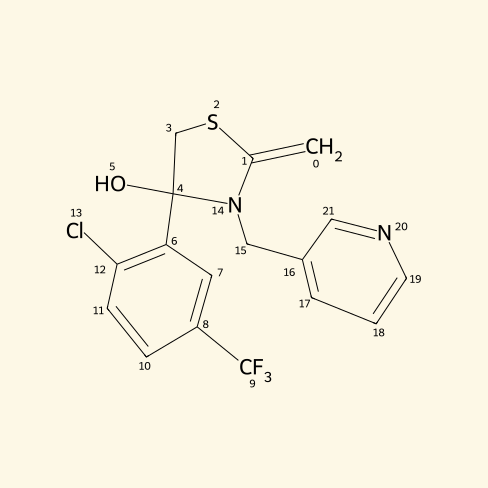 C=C1SCC(O)(c2cc(C(F)(F)F)ccc2Cl)N1Cc1cccnc1